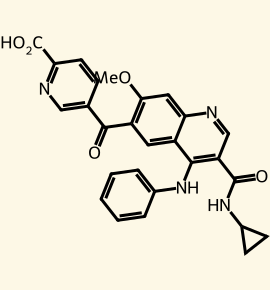 COc1cc2ncc(C(=O)NC3CC3)c(Nc3ccccc3)c2cc1C(=O)c1ccc(C(=O)O)nc1